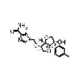 Cc1ccc([C@]23OC[C@@H](OCn4cnc(C(N)=O)n4)[C@H]2OC[C@@H]3O)cc1